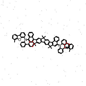 Cc1cccc2c1oc1c(N(c3ccccc3-c3ccccc3)c3cc4c(c5ccccc35)-c3cc5c(cc3C4(C)C)-c3cc4c(cc3C5(C)C)-c3c(cc(N(c5ccccc5-c5ccccc5)c5cccc6c5oc5c(C)cccc56)c5ccccc35)C4(C)C)cccc12